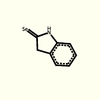 [Se]=C1Cc2ccccc2N1